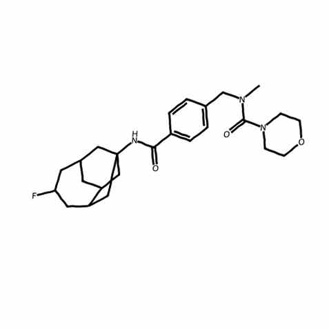 CN(Cc1ccc(C(=O)NC23CC4CC(F)CC(C2)C(C4)C3)cc1)C(=O)N1CCOCC1